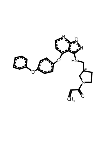 C=CC(=O)N1CC[C@H](CNc2n[nH]c3nccc(Oc4ccc(Oc5ccccc5)cc4)c23)C1